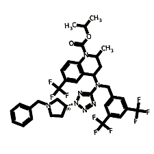 CC(C)OC(=O)N1c2ccc(C(F)(F)F)cc2C(N(Cc2cc(C(F)(F)F)cc(C(F)(F)F)c2)c2nnn([C@@H]3CCN(Cc4ccccc4)C3)n2)CC1C